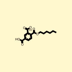 CCCCCCOC(=O)c1ccc(C(=O)O)cc1C(=O)O